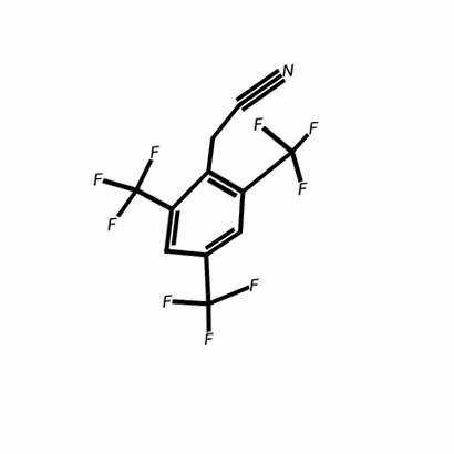 N#CCc1c(C(F)(F)F)cc(C(F)(F)F)cc1C(F)(F)F